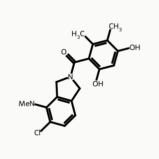 CNc1c(Cl)ccc2c1CN(C(=O)c1c(O)cc(O)c(C)c1C)C2